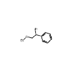 CCOCC(c1ccccc1)C(C)C